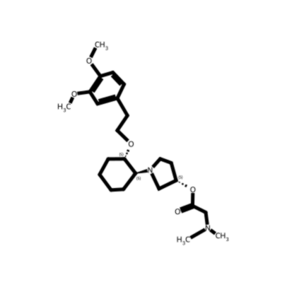 COc1ccc(CCO[C@H]2CCCC[C@@H]2N2CC[C@H](OC(=O)CN(C)C)C2)cc1OC